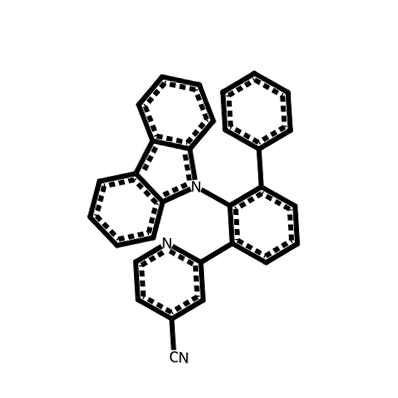 N#Cc1ccnc(-c2cccc(-c3ccccc3)c2-n2c3ccccc3c3ccccc32)c1